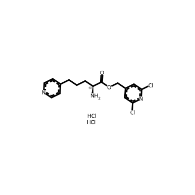 Cl.Cl.N[C@@H](CCCc1ccncc1)C(=O)OCc1cc(Cl)nc(Cl)c1